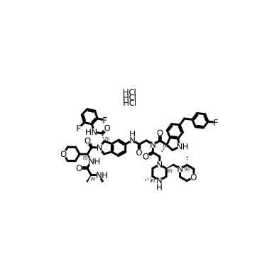 CN[C@@H](C)C(=O)N[C@H](C(=O)N1Cc2ccc(NC(=O)CN(C(=O)CN3C[C@@H](C)NC[C@@H]3CN3CCOC[C@H]3C)C(=O)[C@]3(C)CNc4cc(Cc5ccc(F)cc5)ccc43)cc2[C@H]1C(=O)Nc1c(F)cccc1F)C1CCOCC1.Cl.Cl.Cl